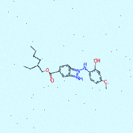 CCCCC(CC)COC(=O)c1ccc2c(c1)[nH]n2Nc1ccc(OC)cc1O